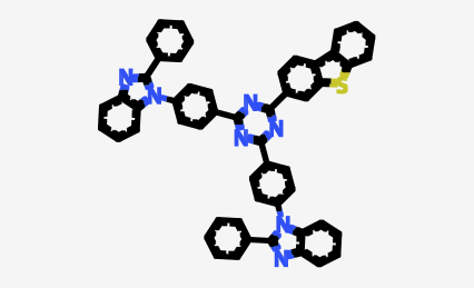 c1ccc(-c2nc3ccccc3n2-c2ccc(-c3nc(-c4ccc(-n5c(-c6ccccc6)nc6ccccc65)cc4)nc(-c4ccc5c(c4)sc4ccccc45)n3)cc2)cc1